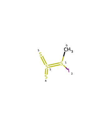 CS(I)=S(=S)=S